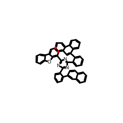 c1ccc(-c2nc(-c3ccccc3-c3cc4ccccc4c4ccccc34)nc(-c3cccc4c3oc3ccccc34)n2)c(-c2ccc3ccccc3c2)c1